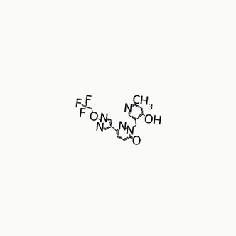 Cc1cc(O)c(Cn2nc(-c3cnc(OCC(F)(F)F)nc3)ccc2=O)cn1